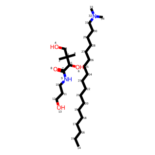 CC(C)(CO)C(O)C(=O)NCCCO.CCCCCCCCCCCCCCCCCCN(C)C